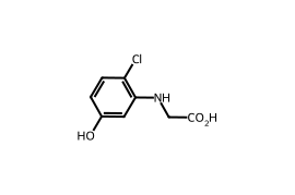 O=C(O)CNc1cc(O)ccc1Cl